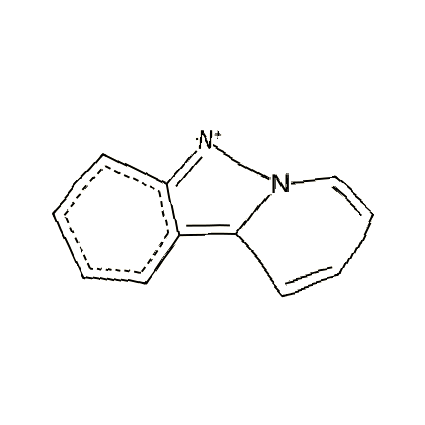 C1=CC2=c3ccccc3=[N+]N2C=C1